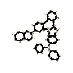 c1ccc(P(c2ccccc2)c2ccc3nc4c5ccccc5c5ccc(-c6ccc7ccccc7c6)cc5n4c3c2)cc1